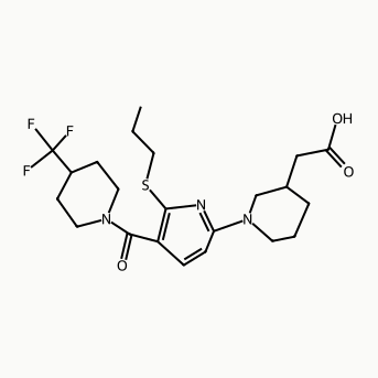 CCCSc1nc(N2CCCC(CC(=O)O)C2)ccc1C(=O)N1CCC(C(F)(F)F)CC1